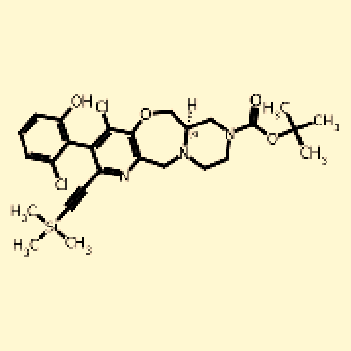 CC(C)(C)OC(=O)N1CCN2Cc3nc(C#C[Si](C)(C)C)c(-c4c(O)cccc4Cl)c(Cl)c3OC[C@H]2C1